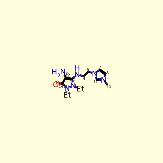 CCn1c(NCCn2cc[n+](C)c2)c(N)c(=O)n1CC